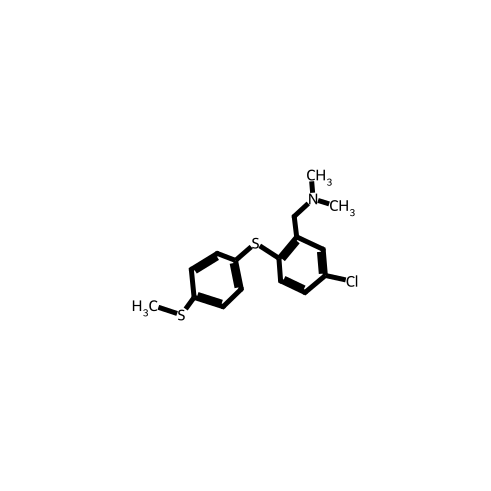 CSc1ccc(Sc2ccc(Cl)cc2CN(C)C)cc1